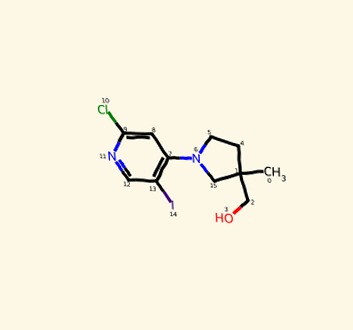 CC1(CO)CCN(c2cc(Cl)ncc2I)C1